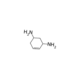 NC1C=CCC(N)C1